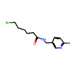 O=C(CCCCCBr)NCc1ccc(F)nc1